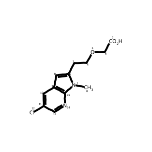 Cn1c(CCOCC(=O)O)cc2cc(Cl)cnc21